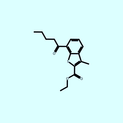 CCCCC(=O)c1cccc2c(C)c(C(=O)OCC)sc12